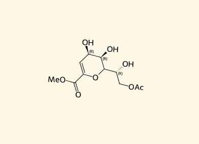 COC(=O)C1=C[C@@H](O)[C@@H](O)C([C@H](O)COC(C)=O)O1